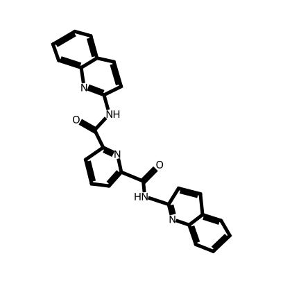 O=C(Nc1ccc2ccccc2n1)c1cccc(C(=O)Nc2ccc3ccccc3n2)n1